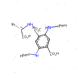 CC(C)[C@H](N)C(=O)O.CCCCCNc1cc(C(=O)O)c(NCCCCC)cc1C(=O)O